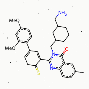 COc1ccc(C2=CCC(=S)C(c3nc4ccc(C)cc4c(=O)n3CC3CCCC(CN)C3)=C2)c(OC)c1